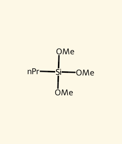 C[CH]C[Si](OC)(OC)OC